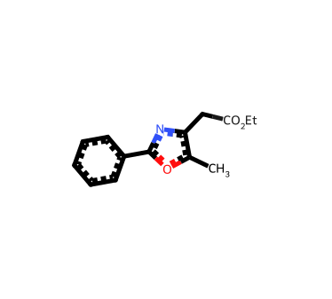 CCOC(=O)Cc1nc(-c2ccccc2)oc1C